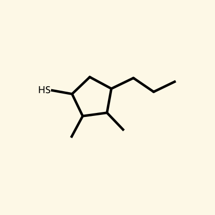 CCCC1CC(S)C(C)C1C